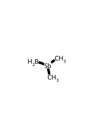 [BH2][Sb]([CH3])[CH3]